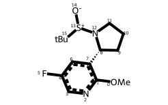 COc1ncc(F)cc1[C@H]1CCCN1[S+]([O-])C(C)(C)C